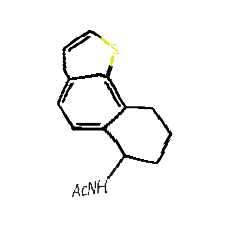 CC(=O)NC1CCCc2c1ccc1ccsc21